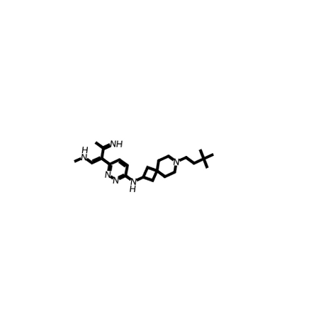 CN/C=C(\C(C)=N)c1ccc(NC2CC3(CCN(CCC(C)(C)C)CC3)C2)nn1